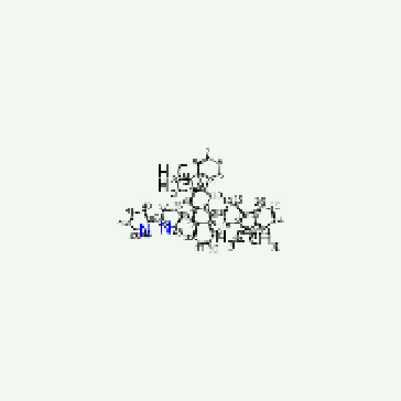 CC1(C)C2=C(CCC=C2)c2cc3c(-c4ccc5c(c4)C(C)(C)c4ccccc4-5)c4ccccc4c(-c4ccc(-c5ccccn5)nc4)c3cc21